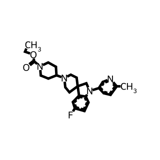 CCOC(=O)N1CCC(N2CCC3(CC2)CN(c2ccc(C)nc2)c2ccc(F)cc23)CC1